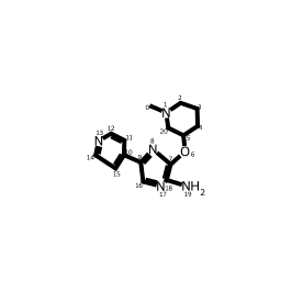 CN1CCCC(Oc2nc(-c3ccncc3)cnc2N)C1